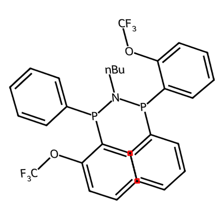 CCCCN(P(c1ccccc1)c1ccccc1OC(F)(F)F)P(c1ccccc1)c1ccccc1OC(F)(F)F